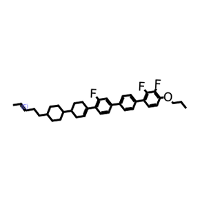 C/C=C/CCC1CCC(C2CC=C(c3ccc(-c4ccc(-c5ccc(OCCC)c(F)c5F)cc4)cc3F)CC2)CC1